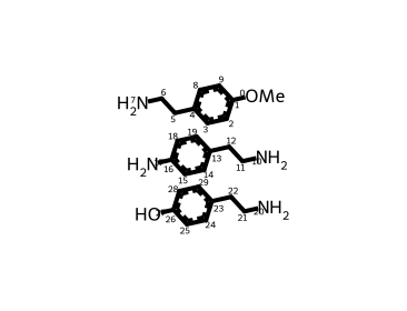 COc1ccc(CCN)cc1.NCCc1ccc(N)cc1.NCCc1ccc(O)cc1